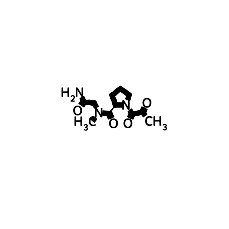 CC(=O)C(=O)N1CCC[C@H]1C(=O)N(C)CC(N)=O